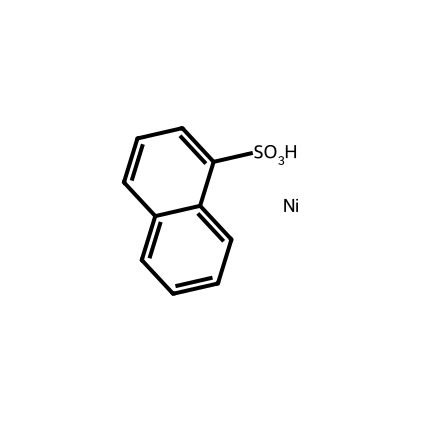 O=S(=O)(O)c1cccc2ccccc12.[Ni]